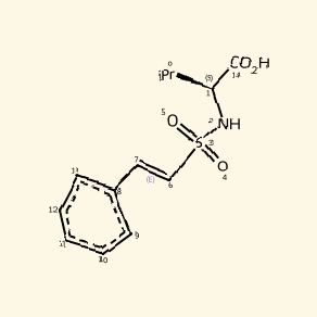 CC(C)[C@H](NS(=O)(=O)/C=C/c1ccccc1)C(=O)O